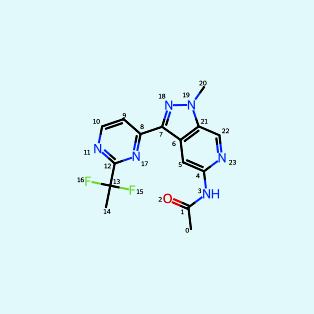 CC(=O)Nc1cc2c(-c3ccnc(C(C)(F)F)n3)nn(C)c2cn1